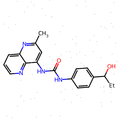 CCC(O)c1ccc(NC(=O)Nc2cc(C)nc3cccnc23)cc1